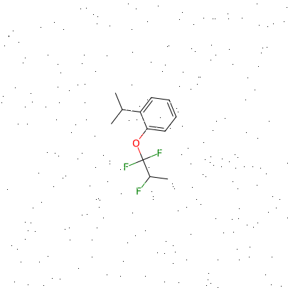 CC(C)c1ccccc1OC(F)(F)C(C)F